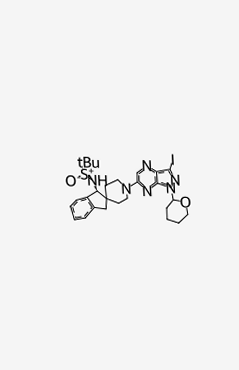 CC(C)(C)[S+]([O-])N[C@@H]1c2ccccc2CC12CCN(c1cnc3c(I)nn(C4CCCCO4)c3n1)CC2